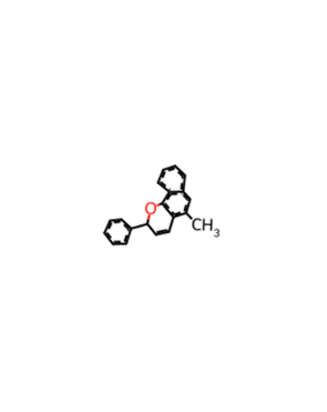 Cc1cc2ccccc2c2c1C=CC(c1ccccc1)O2